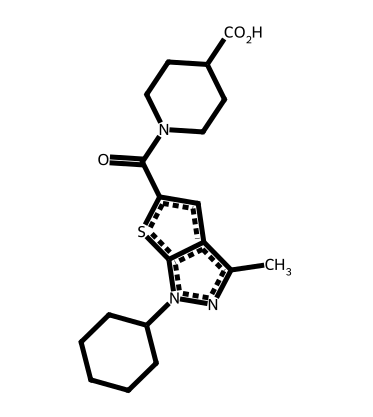 Cc1nn(C2CCCCC2)c2sc(C(=O)N3CCC(C(=O)O)CC3)cc12